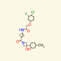 Cc1ccc(C2(O)CN(C(=O)C34CC(NC(=O)COc5ccc(Cl)c(F)c5)(C3)C4)C2)cc1